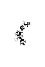 CCN(C)C(=O)N1CC[C@H](Oc2ncnc3c2nc(-c2cnc(C)nc2)n3CC)C1